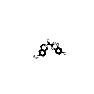 CCC(Oc1ccc(Cl)cc1Cl)C(=O)N1CCc2cc(C)ccc2C1